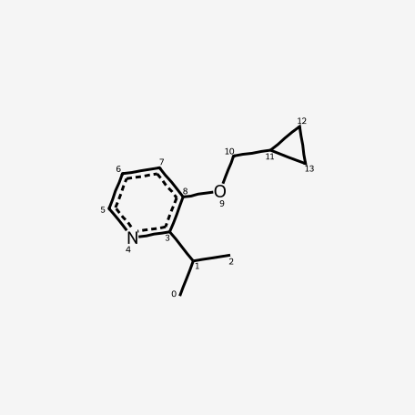 CC(C)c1ncccc1OCC1CC1